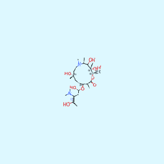 CC[C@H]1OC(=O)C(C)[C@@H](OC(O)C/C(=C(\C)O)N(C)C)CC[C@](C)(O)CCN(C)C(C)C(O)[C@]1(C)O